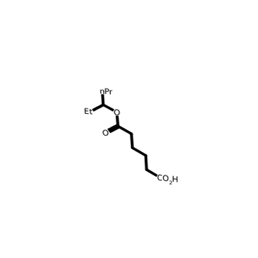 CCCC(CC)OC(=O)CCCCC(=O)O